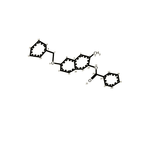 Cc1cc2cc(OCc3ccccc3)ccc2cc1OC(=O)c1ccccc1